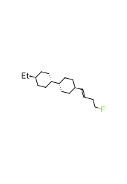 CC[C@H]1CC[C@H]([C@H]2CC[C@H](C=CCCF)CC2)CC1